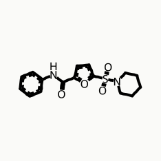 O=C(Nc1ccccc1)c1ccc(S(=O)(=O)N2CCCCC2)o1